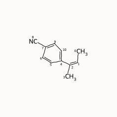 C/C=C(/C)c1ccc(C#N)cc1